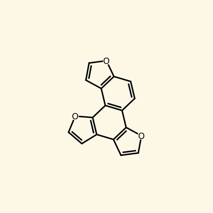 c1cc2c(ccc3c4occc4c4ccoc4c23)o1